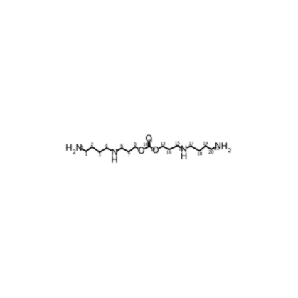 NCCCCNCCCOC(=O)OCCCNCCCCN